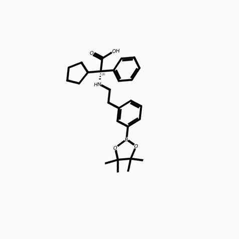 CC1(C)OB(c2cccc(CCN[C@](C(=O)O)(c3ccccc3)C3CCCC3)c2)OC1(C)C